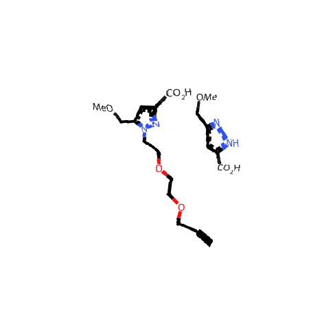 C#CCOCCOCCn1nc(C(=O)O)cc1COC.COCc1cc(C(=O)O)[nH]n1